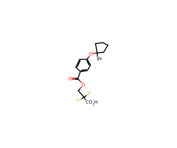 CC(C)C1(Oc2ccc(C(=O)OCC(F)(F)C(=O)O)cc2)CCCC1